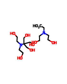 O=C(O)CN(CCO)CCO.OCCN(CCO)C(CO)(CO)CO